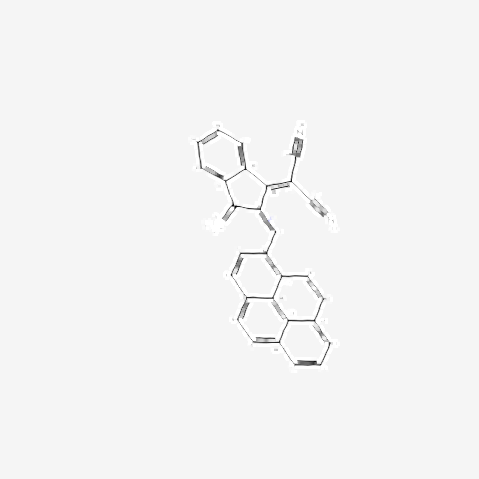 C=C1/C(=C\c2ccc3ccc4cccc5ccc2c3c45)C(=C(C#N)C#N)c2ccccc21